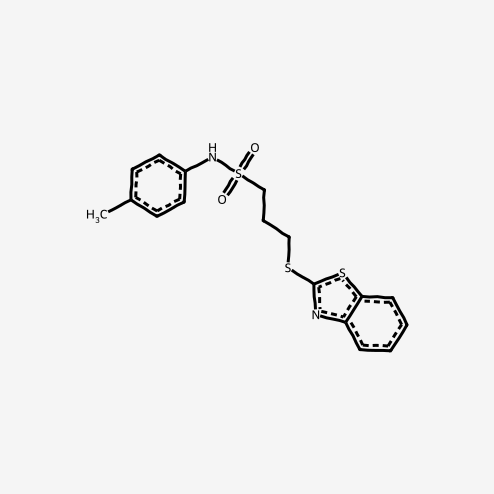 Cc1ccc(NS(=O)(=O)CCCSc2nc3ccccc3s2)cc1